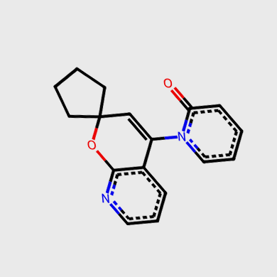 O=c1ccccn1C1=CC2(CCCC2)Oc2ncccc21